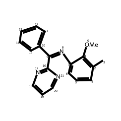 COc1c(C)cccc1N=C(c1ccccc1)c1ncccn1